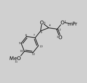 CCCOC(=O)C1OC1c1ccc(OC)cc1